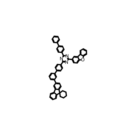 c1ccc(-c2ccc(-c3nc(-c4ccc(-c5cccc(-c6ccc7c(c6)-c6ccccc6C76CCCCC6)c5)cc4)nc(-c4ccc5oc6ccccc6c5c4)n3)cc2)cc1